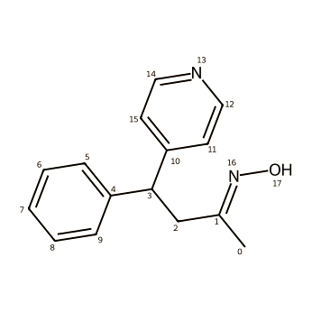 CC(CC(c1ccccc1)c1ccncc1)=NO